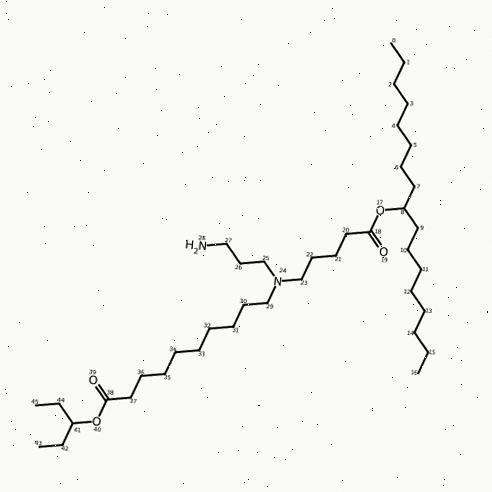 CCCCCCCCC(CCCCCCCC)OC(=O)CCCCN(CCCN)CCCCCCCCCC(=O)OC(CC)CC